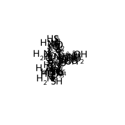 CC(C)[C@H](N)C(=O)O.C[C@@H](O)[C@H](N)C(=O)O.NCCCC[C@H](N)C(=O)Oc1ccc(C[C@H](N)C(=O)O)cc1.N[C@@H](CS)C(=O)O.N[C@H](Cc1c[nH]c2ccccc12)C(=O)OC(=O)[C@@H](N)Cc1ccc(OC(=O)[C@@H](N)CS)cc1